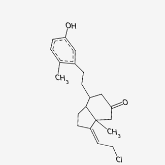 Cc1ccc(O)cc1CCC1CC(=O)CC2(C)/C(=C\CCl)CCC12